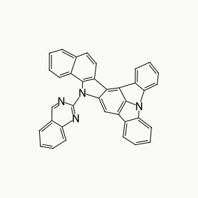 c1ccc2nc(-n3c4cc5c6ccccc6n6c7ccccc7c(c4c4ccc7ccccc7c43)c56)ncc2c1